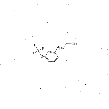 OC/C=C/c1cccc(OC(F)(F)F)c1